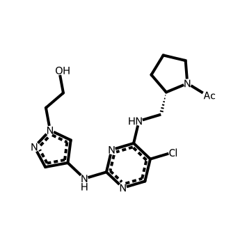 CC(=O)N1CCC[C@H]1CNc1nc(Nc2cnn(CCO)c2)ncc1Cl